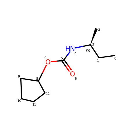 CC[C@H](C)NC(=O)OC1CCCC1